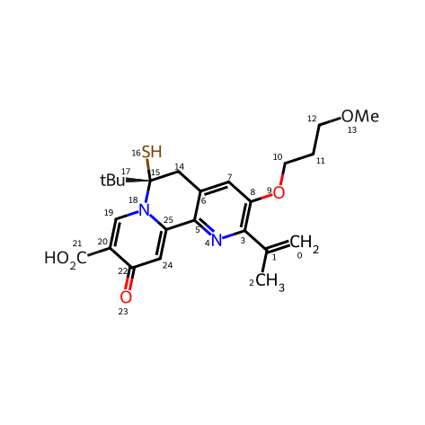 C=C(C)c1nc2c(cc1OCCCOC)C[C@](S)(C(C)(C)C)n1cc(C(=O)O)c(=O)cc1-2